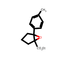 CCOC(=O)C12CCCC1(c1ccc(C)cc1)O2